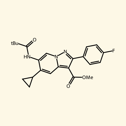 COC(=O)c1c(-c2ccc(F)cc2)nn2cc(NC(=O)C(C)(C)C)c(C3CC3)cc12